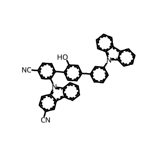 N#Cc1ccc(-c2ccc(-c3cccc(-n4c5ccccc5c5ccccc54)c3)cc2O)c(-n2c3ccccc3c3cc(C#N)ccc32)c1